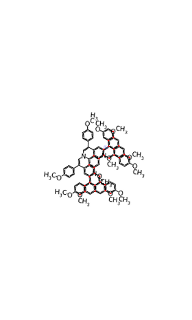 COc1ccc(C(=CN(C=C(c2ccc(OC)cc2)c2ccc(OC)cc2)c2cc(N(C=C(c3ccc(OC)cc3)c3ccc(OC)cc3)C=C(c3ccc(OC)cc3)c3ccc(OC)cc3)cc(N(C=C(c3ccc(OC)cc3)c3ccc(OC)cc3)/C=C(\c3ccc(OC)cc3)c3cccc(OC)c3)c2)c2ccc(OC)cc2)cc1